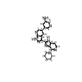 Nc1cncc(-c2cnc3[nH]nc(-c4nc5c(N6CCCCC6)nccc5[nH]4)c3c2)c1